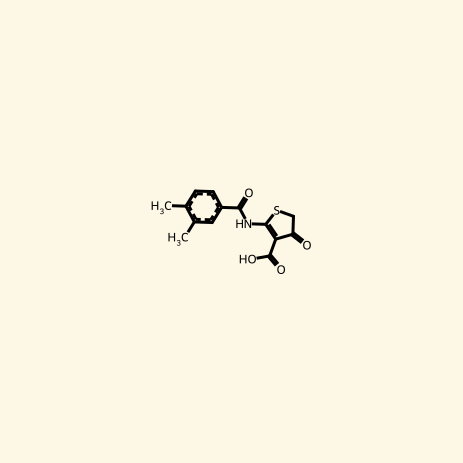 Cc1ccc(C(=O)NC2=C(C(=O)O)C(=O)CS2)cc1C